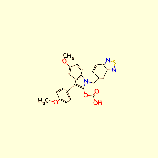 COc1ccc(-c2c(OC(=O)O)n(Cc3ccc4nsnc4c3)c3ccc(OC)cc23)cc1